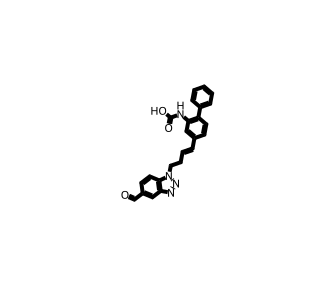 O=Cc1ccc2c(c1)nnn2CC/C=C/c1ccc(-c2ccccc2)c(NC(=O)O)c1